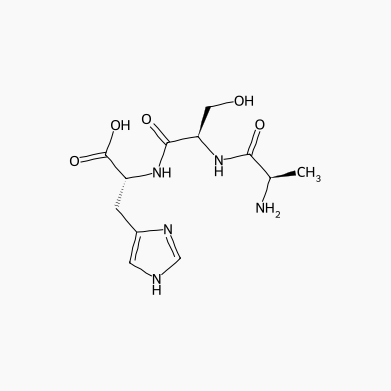 C[C@@H](N)C(=O)N[C@H](CO)C(=O)N[C@H](Cc1c[nH]cn1)C(=O)O